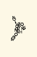 CN1CCC(C#Cc2cc3cnc(Nc4ccc(N5CCN(C)CC5)cc4)nc3n(Cc3c(F)cccc3-c3nccs3)c2=O)CC1